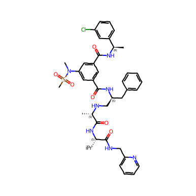 CC(C)[C@H](NC(=O)[C@H](C)NC[C@H](Cc1ccccc1)NC(=O)c1cc(C(=O)N[C@H](C)c2cccc(Cl)c2)cc(N(C)S(C)(=O)=O)c1)C(=O)NCc1ccccn1